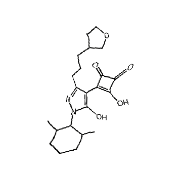 CC1CCCC(C)C1n1nc(CCCC2CCOC2)c(-c2c(O)c(=O)c2=O)c1O